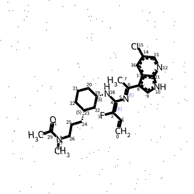 C=C/C(F)=C(\N=C(/C)c1c[nH]c2ncc(Cl)cc12)N[C@H]1CCC[C@@H](CCCN(C)C(C)=O)C1